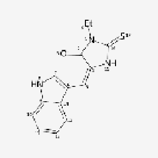 CCN1C(=O)C(=Cc2c[nH]c3ccccc23)NC1=S